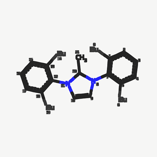 CCC(C)c1cccc(C(C)CC)c1N1C=CN(c2c(C(C)CC)cccc2C(C)CC)C1C